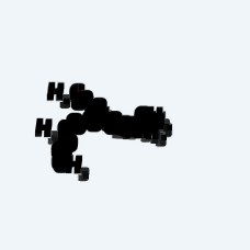 CCCC(=O)OCCCCOC(=O)CCN(CCCOC(=O)OC1CC[C@@]2(C)C(=CCC3C4CCC([C@H](C)CCCC(C)C)[C@@]4(C)CCC32)C1)CCC(=O)OCCCCOC(=O)CCN(C)CCCOC(=O)CCC(=O)OCCOC